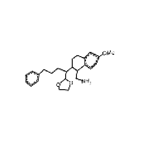 COc1ccc2c(c1)CCC(C(CCCc1ccccc1)C1OCCO1)C2CN